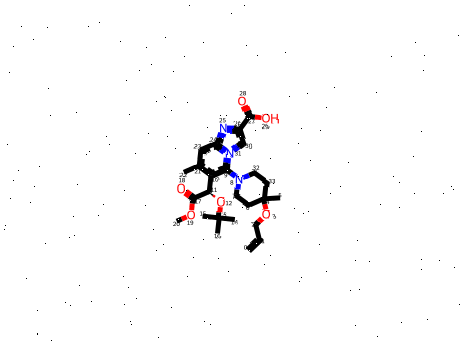 C=CCOC1(C)CCN(c2c([C@H](OC(C)(C)C)C(=O)OC)c(C)cc3nc(C(=O)O)cn23)CC1